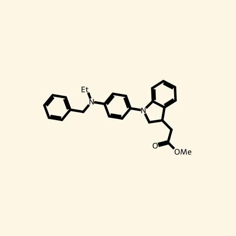 CCN(Cc1ccccc1)c1ccc(N2CC(CC(=O)OC)c3ccccc32)cc1